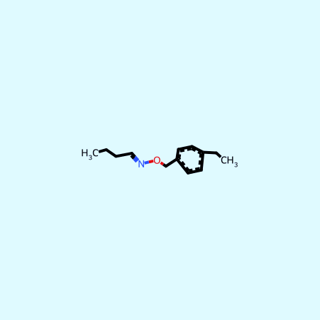 CCCC=NOCc1ccc(CC)cc1